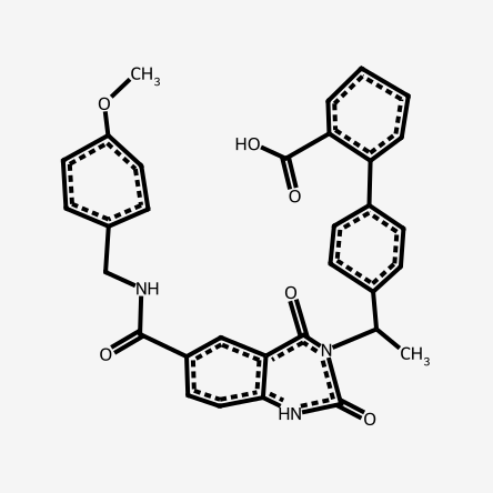 COc1ccc(CNC(=O)c2ccc3[nH]c(=O)n(C(C)c4ccc(-c5ccccc5C(=O)O)cc4)c(=O)c3c2)cc1